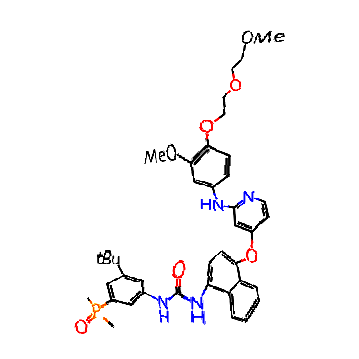 COCCOCCOc1ccc(Nc2cc(Oc3ccc(NC(=O)Nc4cc(C(C)(C)C)cc(P(C)(C)=O)c4)c4ccccc34)ccn2)cc1OC